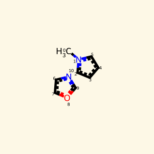 Cn1cccc1.c1cocn1